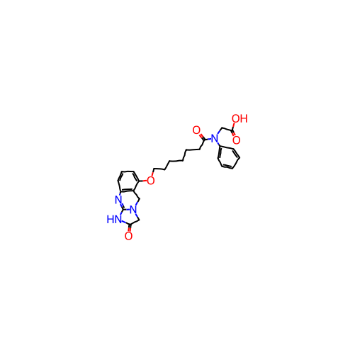 O=C(O)CN(C(=O)CCCCCCOc1cccc2c1CN1CC(=O)NC1=N2)c1ccccc1